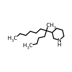 CCCCCCC(C)(CCCC)C1CCCNC1